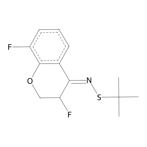 CC(C)(C)S/N=C1/c2cccc(F)c2OCC1F